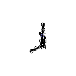 CC/[N+](CCOCCOC)=c1/ccc2nc3cc(C)c(NCCOCCOC)cc3oc-2c1